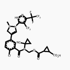 CN1CC(c2ccc(Cl)c(C(=O)N(COC(=O)C3CC3C(=O)O)C3(C#N)CC3)c2)=CN1c1[nH]nc(C(F)(F)C(F)(F)F)c1C(F)(F)F